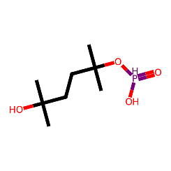 CC(C)(O)CCC(C)(C)O[PH](=O)O